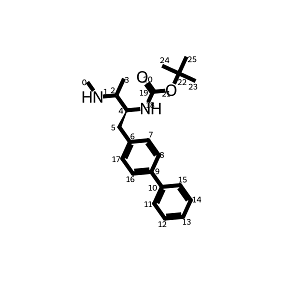 CNC(C)[C@H](Cc1ccc(-c2ccccc2)cc1)NC(=O)OC(C)(C)C